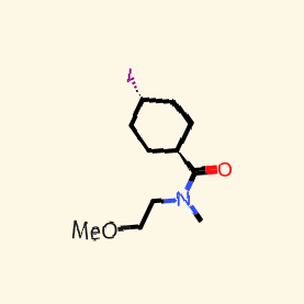 COCCN(C)C(=O)[C@H]1CC[C@H](I)CC1